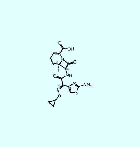 Nc1nc(/C(=N\OC2CC2)C(=O)N[C@@H]2C(=O)N3C(C(=O)O)=CCS[C@H]23)cs1